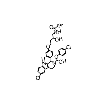 CC(C)C(=O)NCC(O)CCOc1ccc([C@H]2c3[nH]c4ccc(Cl)cc4c3CCN2C(O)Oc2ccc(Cl)cc2)cc1